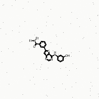 CCN(CC)C(=O)c1cccc(-c2cc3ncnc(Nc4cccc(O)c4)c3s2)c1